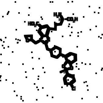 C[C@]1(c2ccc(Cl)cn2)Oc2cccc(C3CCN(Cc4nc5c(CSC[C@H](N)C(=O)O)cc(C(=O)O)cc5n4CC4CCO4)CC3)c2O1